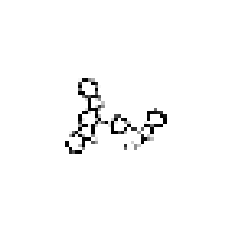 CCCc1nc2ccccc2n1-c1ccc(-c2c3oc4ccccc4c3cc3c2oc2ccccc23)cc1